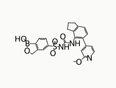 COc1cc(-c2ccc3c(c2NC(=O)NS(=O)(=O)c2ccc4c(c2)COB4O)CCC3)ccn1